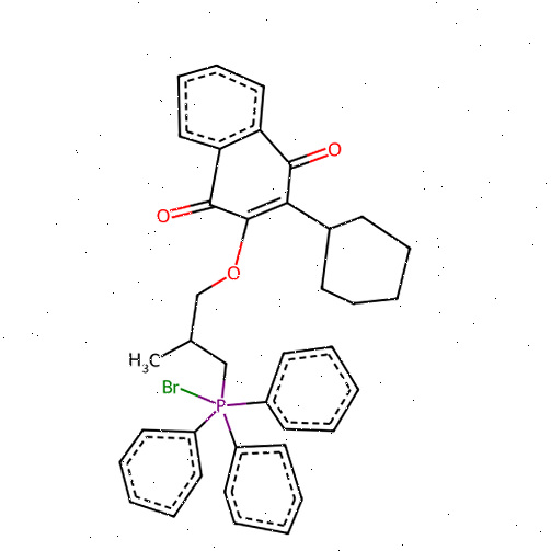 CC(COC1=C(C2CCCCC2)C(=O)c2ccccc2C1=O)CP(Br)(c1ccccc1)(c1ccccc1)c1ccccc1